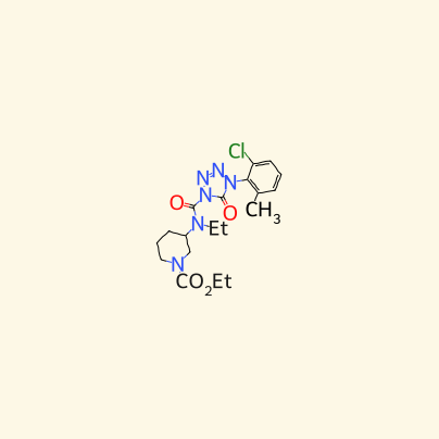 CCOC(=O)N1CCCC(N(CC)C(=O)n2nnn(-c3c(C)cccc3Cl)c2=O)C1